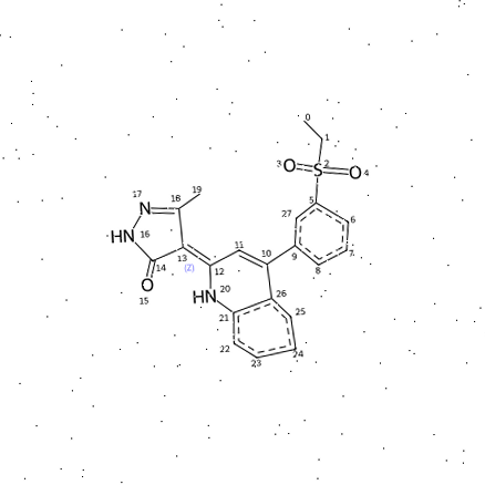 CCS(=O)(=O)c1cccc(C2=C/C(=C3/C(=O)NN=C3C)Nc3ccccc32)c1